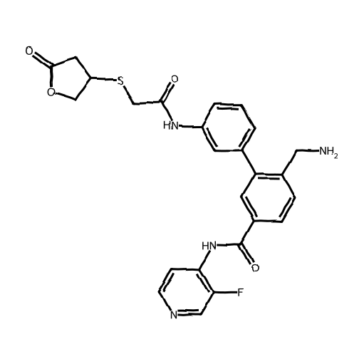 NCc1ccc(C(=O)Nc2ccncc2F)cc1-c1cccc(NC(=O)CSC2COC(=O)C2)c1